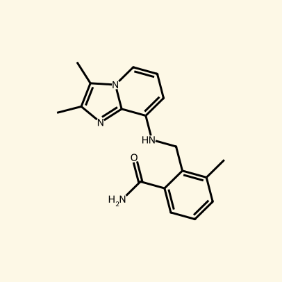 Cc1cccc(C(N)=O)c1CNc1cccn2c(C)c(C)nc12